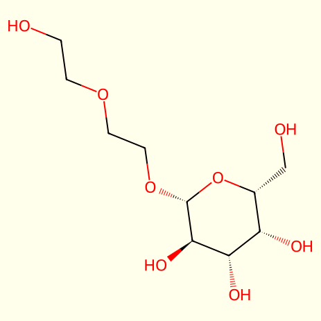 OCCOCCO[C@@H]1O[C@H](CO)[C@H](O)[C@H](O)[C@H]1O